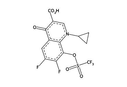 O=C(O)c1cn(C2CC2)c2c(OS(=O)(=O)C(F)(F)F)c(F)c(F)cc2c1=O